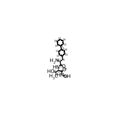 C[C@@H](O)[C@H](NC(=O)[C@@H](N)Cc1ccc(-c2ccccc2)cc1)C(=O)NO